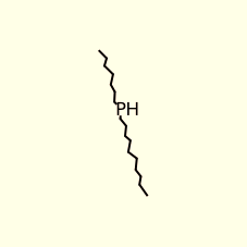 CCCCCCCCCCPCCCCCCC